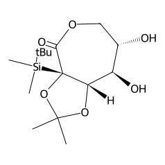 CC1(C)O[C@H]2[C@H](O)[C@@H](O)COC(=O)[C@@]2([Si](C)(C)C(C)(C)C)O1